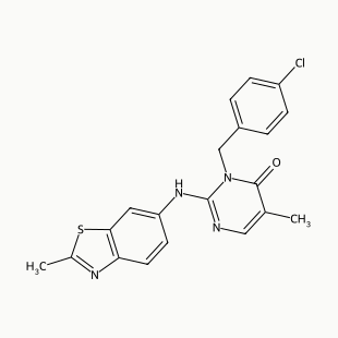 Cc1nc2ccc(Nc3ncc(C)c(=O)n3Cc3ccc(Cl)cc3)cc2s1